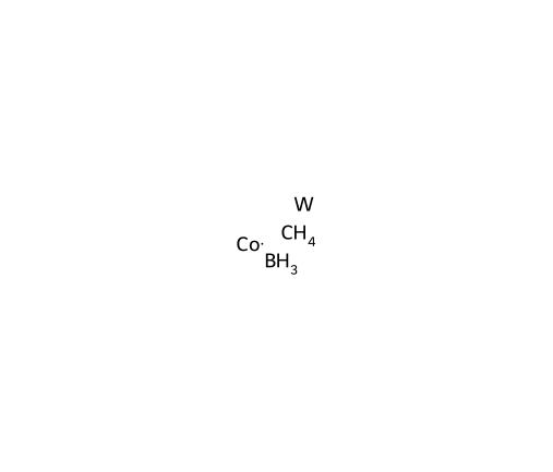 B.C.[Co].[W]